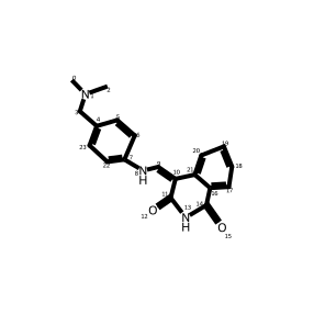 CN(C)Cc1ccc(NC=C2C(=O)NC(=O)c3ccccc32)cc1